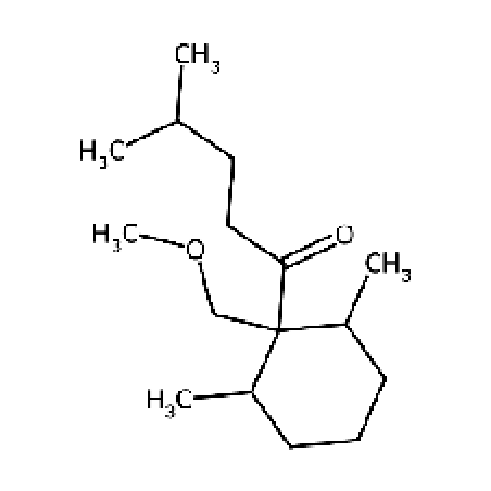 COCC1(C(=O)CCC(C)C)C(C)CCCC1C